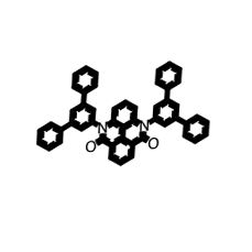 O=c1c2cccc3c(=O)n(-c4cc(-c5ccccc5)cc(-c5ccccc5)c4)c4cccc(c4c23)n1-c1cc(-c2ccccc2)cc(-c2ccccc2)c1